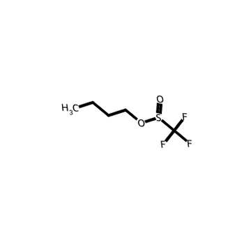 CCCCOS(=O)C(F)(F)F